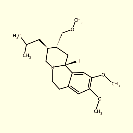 COC[C@@H]1C[C@@H]2c3cc(OC)c(OC)cc3CCN2C[C@H]1CC(C)C